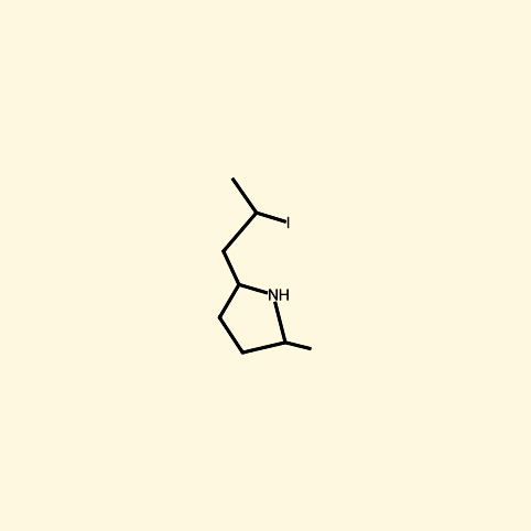 CC(I)CC1CCC(C)N1